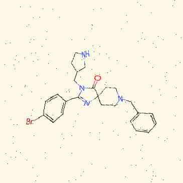 O=C1N(CC2CCNC2)C(c2ccc(Br)cc2)=NC12CCN(Cc1ccccc1)CC2